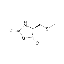 CSC[C@@H]1NC(=O)OC1=O